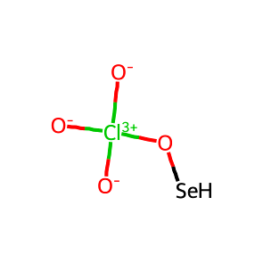 [O-][Cl+3]([O-])([O-])O[SeH]